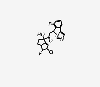 O=C(CC1c2c(F)cccc2-c2cncn21)C1(O)CCC2C1=CC(Cl)[C@H]2F